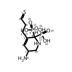 NC1C=C(CCC=S)C(P(=O)(O)O)(P(=O)(O)O)NC1